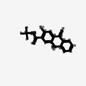 CC(C)(C)NC(=O)c1cc2[nH]c3ccccc3c(=O)c2cc1F